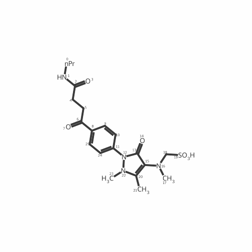 CCCNC(=O)CCC(=O)c1ccc(-n2c(=O)c(N(C)CS(=O)(=O)O)c(C)n2C)cc1